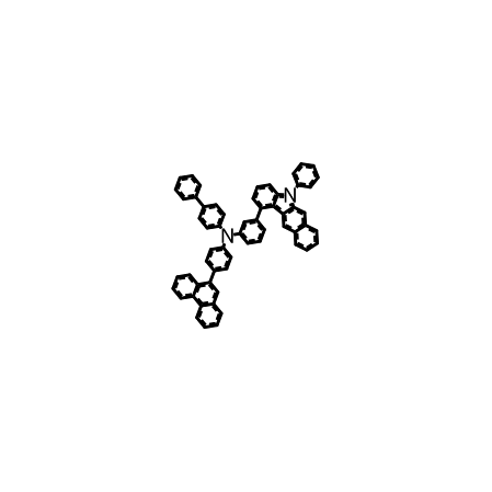 c1ccc(-c2ccc(N(c3ccc(-c4cc5ccccc5c5ccccc45)cc3)c3cccc(-c4cccc5c4c4cc6ccccc6cc4n5-c4ccccc4)c3)cc2)cc1